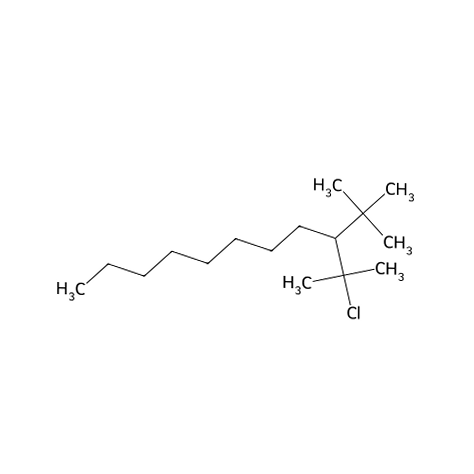 CCCCCCCCC(C(C)(C)C)C(C)(C)Cl